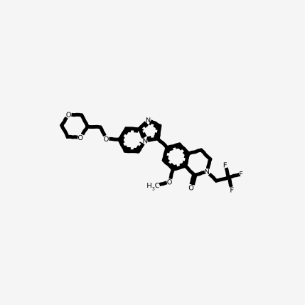 COc1cc(-c2cnc3cc(OCC4COCCO4)ccn23)cc2c1C(=O)N(CC(F)(F)F)CC2